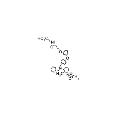 CC1=C(N(Cc2ccccc2)Cc2ccc(Oc3cccc(OCCCC(=O)NCCC(=O)O)c3)cc2)C=CCC1=NS(C)(=O)=O